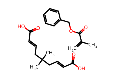 C=C(C)C(=O)OCc1ccccc1.CC(C)(CC=CC(=O)O)CC=CC(=O)O